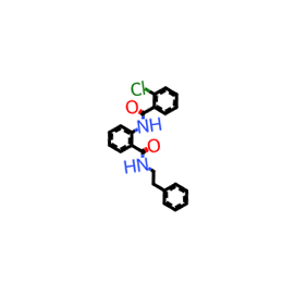 O=C(Nc1ccccc1C(=O)NCCc1ccccc1)c1ccccc1Cl